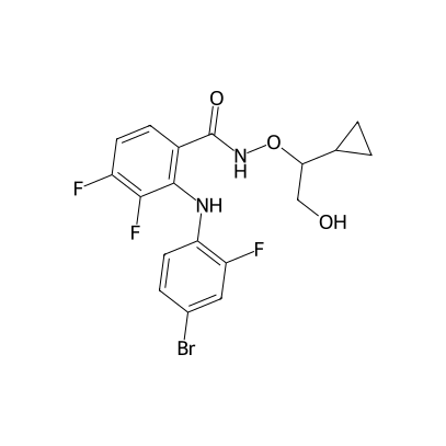 O=C(NOC(CO)C1CC1)c1ccc(F)c(F)c1Nc1ccc(Br)cc1F